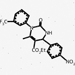 CCOC(=O)C1=C(C)N(c2cccc(C(F)(F)F)c2)C(=O)NC1c1ccc([N+](=O)[O-])cc1